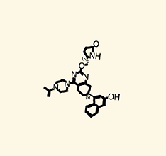 C=C(C)N1CCN(c2nc(OC[C@@H]3CCC(=O)N3)nc3c2CC[C@H](c2cc(O)cc4ccccc24)C3)CC1